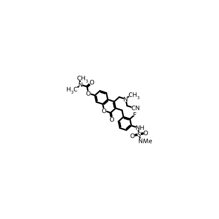 CNS(=O)(=O)Nc1cccc(Cc2c(CN(C)CC#N)c3ccc(OC(=O)N(C)C)cc3oc2=O)c1F